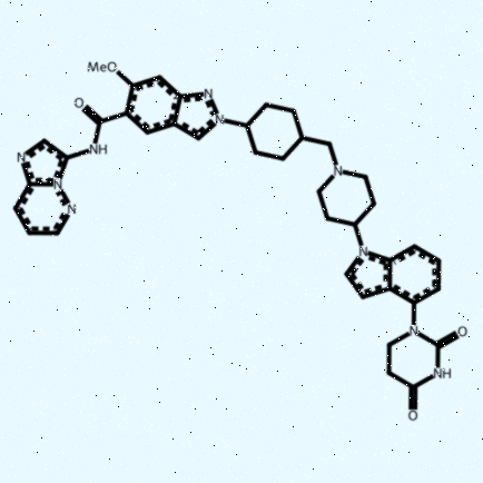 COc1cc2nn(C3CCC(CN4CCC(n5ccc6c(N7CCC(=O)NC7=O)cccc65)CC4)CC3)cc2cc1C(=O)Nc1cnc2cccnn12